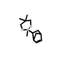 CC1(C)CO[Si](C)(C2CC3C=CC2C3)OC1